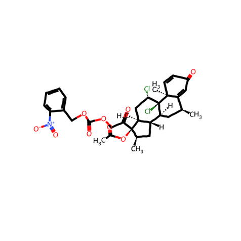 CC(=O)O[C@]1(C(=O)COC(=O)OCc2ccccc2[N+](=O)[O-])[C@H](C)C[C@H]2[C@@H]3C[C@H](C)C4=CC(=O)C=C[C@]4(C)[C@@]3(Cl)[C@@H](Cl)C[C@@]21C